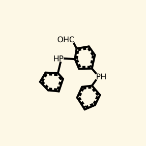 O=Cc1ccc(Pc2ccccc2)cc1Pc1ccccc1